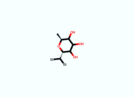 CCC(CC)[C@@H]1O[C@@H](C)C(O)C(O)C1O